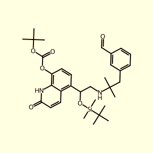 CC(C)(Cc1cccc(C=O)c1)NCC(O[Si](C)(C)C(C)(C)C)c1ccc(OC(=O)OC(C)(C)C)c2[nH]c(=O)ccc12